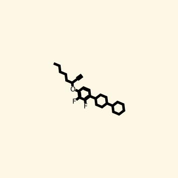 C#CC(CCCCC)Oc1ccc(C2CCC(C3CCCCC3)CC2)c(F)c1F